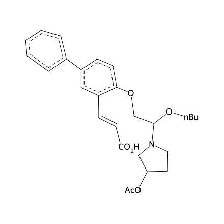 CCCCOC(COc1ccc(-c2ccccc2)cc1/C=C/C(=O)O)N1CCC(OC(C)=O)C1